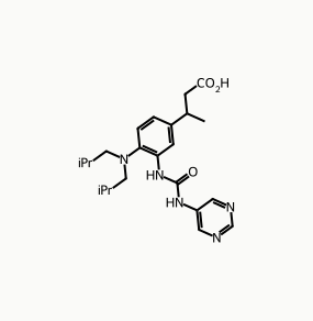 CC(C)CN(CC(C)C)c1ccc(C(C)CC(=O)O)cc1NC(=O)Nc1cncnc1